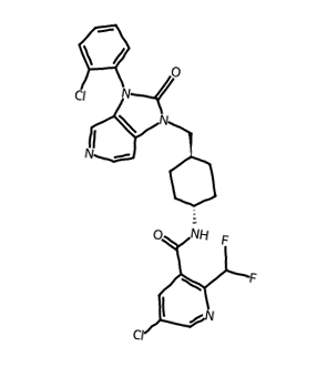 O=C(N[C@H]1CC[C@H](Cn2c(=O)n(-c3ccccc3Cl)c3cnccc32)CC1)c1cc(Cl)cnc1C(F)F